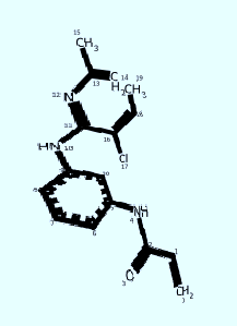 C=CC(=O)Nc1cccc(NC(=N/C(=C)C)/C(Cl)=C\C)c1